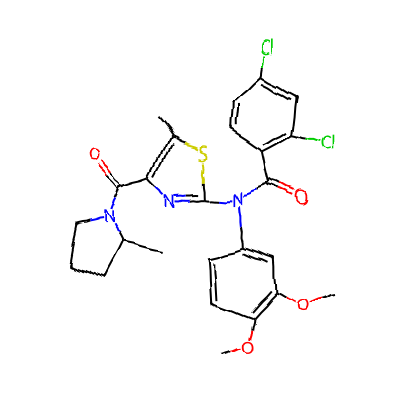 COc1ccc(N(C(=O)c2ccc(Cl)cc2Cl)c2nc(C(=O)N3CCCC3C)c(C)s2)cc1OC